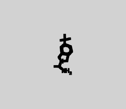 CC(N)N1Cc2ccc(C(C)(C)C)cc2C1